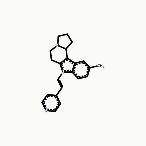 Cc1ccc2c(c1)c1c(n2/C=C/c2ccncc2)CCN2CCCC12